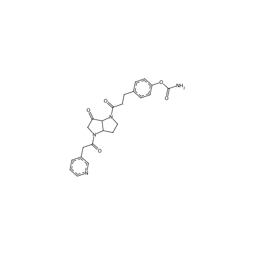 NC(=O)Oc1ccc(C[CH]C(=O)N2CCC3C2C(=O)CN3C(=O)Cc2cccnc2)cc1